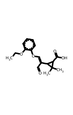 CCOc1ccccc1OC=C(C=O)C1C(C(=O)O)C1(C)C